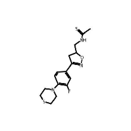 CC(=S)NCC1CC(c2ccc(N3CCSCC3)c(F)c2)=NO1